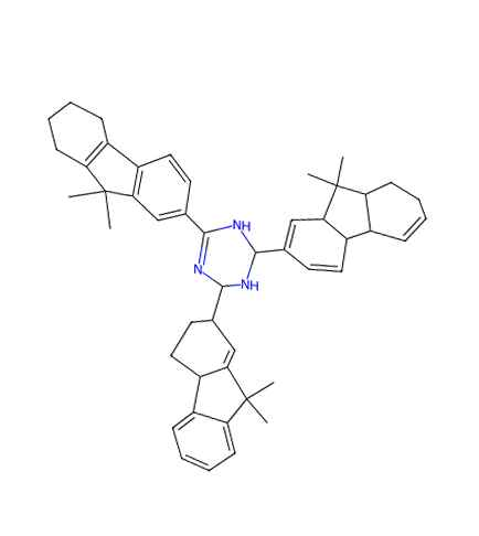 CC1(C)C2=C(CCCC2)c2ccc(C3=NC(C4C=C5C(CC4)c4ccccc4C5(C)C)NC(C4=CC5C(C=C4)C4C=CCCC4C5(C)C)N3)cc21